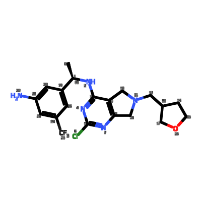 C[C@@H](Nc1nc(Cl)nc2c1CN(CC1CCOC1)C2)c1cc(N)cc(C(F)(F)F)c1